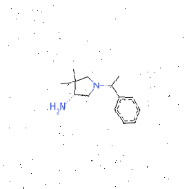 CC(c1ccccc1)N1C[C@H](N)C(C)(C)C1